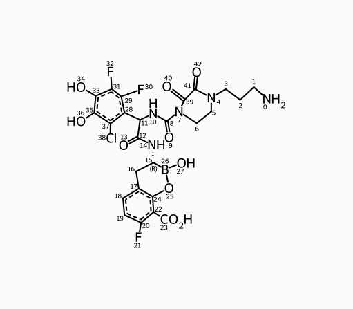 NCCCN1CCN(C(=O)NC(C(=O)N[C@H]2Cc3ccc(F)c(C(=O)O)c3OB2O)c2c(F)c(F)c(O)c(O)c2Cl)C(=O)C1=O